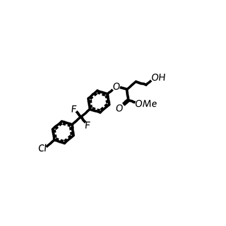 COC(=O)C(CCO)Oc1ccc(C(F)(F)c2ccc(Cl)cc2)cc1